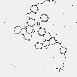 CCCCc1ccc(Oc2cc3c4c(c2)Sc2cc5c(cc2B4c2ccccc2S3)B2c3c(cc(Oc4ccc(CCCC)cc4)cc3-n3c4ccccc4c4cccc2c43)N5c2ccccc2)cc1